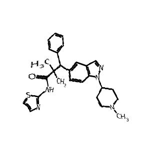 CN1CCC(n2ncc3cc(C(c4ccccc4)C(C)(C)C(=O)Nc4nccs4)ccc32)CC1